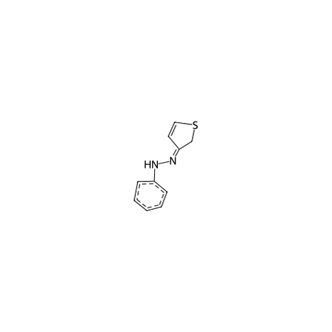 C1=CC(=NNc2ccccc2)CS1